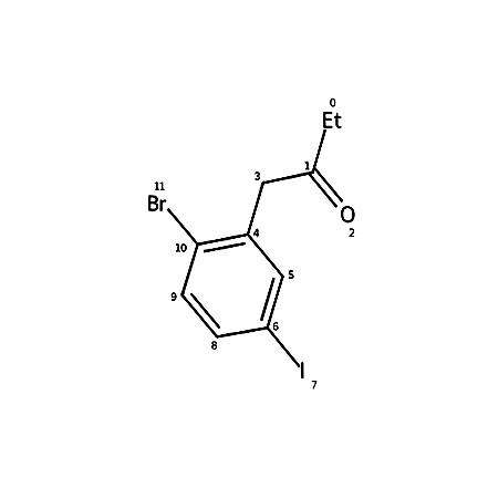 CCC(=O)Cc1cc(I)ccc1Br